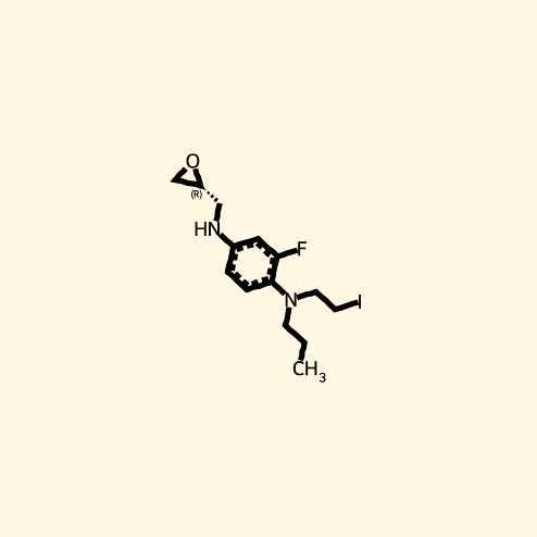 CCCN(CCI)c1ccc(NC[C@@H]2CO2)cc1F